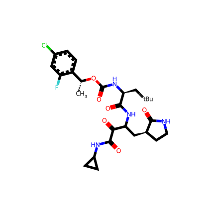 C[C@@H](OC(=O)N[C@@H](CC(C)(C)C)C(=O)NC(C[C@@H]1CCNC1=O)C(=O)C(=O)NC1CC1)c1ccc(Cl)cc1F